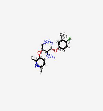 Cc1ccc(OC(CN)C(N)COc2ccc(F)c(C(F)(F)F)c2)c(C)n1